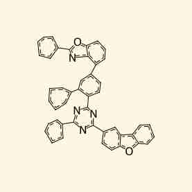 c1ccc(-c2nc(-c3ccc4oc5ccccc5c4c3)nc(-c3ccc(-c4cccc5oc(-c6ccccc6)nc45)cc3-c3ccccc3)n2)cc1